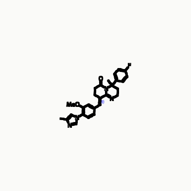 COc1cc(/C=C2\CCC(=O)N3C2=NCCC3(C)c2ccc(F)cc2)ccc1-n1cnc(C)c1